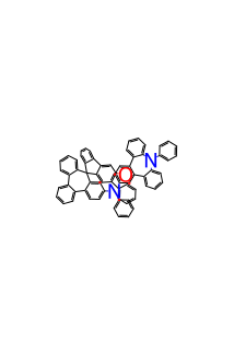 c1ccc(N(c2ccc3c(c2)-c2ccccc2N(c2ccccc2)c2ccccc2-3)c2ccc3c(c2)C2(c4ccccc4-c4ccccc4-3)c3ccccc3-c3cc4oc5ccccc5c4cc32)cc1